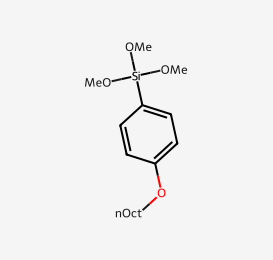 CCCCCCCCOc1ccc([Si](OC)(OC)OC)cc1